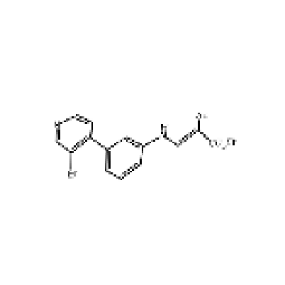 CCOC(=O)C(=CNc1cccc(-c2ccncc2CC)c1)C(C)=O